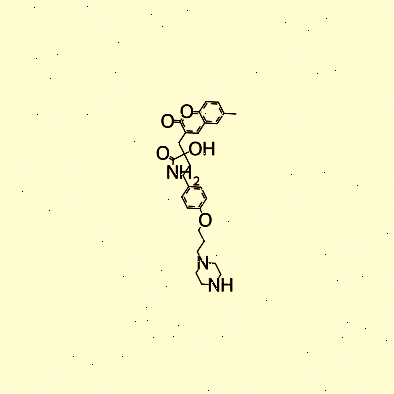 Cc1ccc2oc(=O)c(CC(O)(CCc3ccc(OCCCN4CCNCC4)cc3)C(N)=O)cc2c1